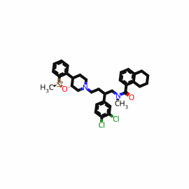 CN(CC(CCN1CCC(c2ccccc2[S@+](C)[O-])CC1)c1ccc(Cl)c(Cl)c1)C(=O)c1cccc2c1CCCC2